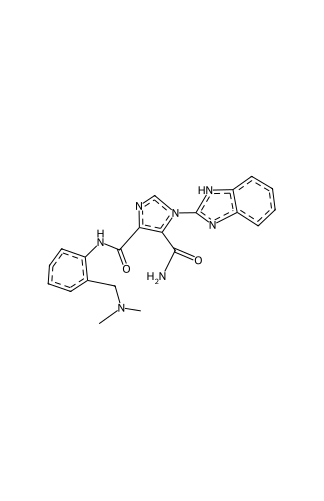 CN(C)Cc1ccccc1NC(=O)c1ncn(-c2nc3ccccc3[nH]2)c1C(N)=O